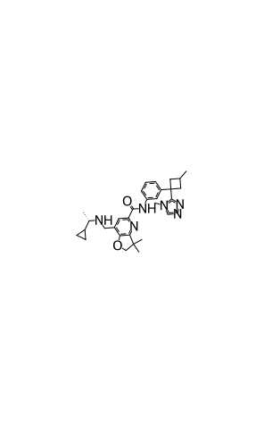 CC1CC(c2cccc(NC(=O)c3cc(CN[C@@H](C)C4CC4)c4c(n3)C(C)(C)CO4)c2)(c2nncn2C)C1